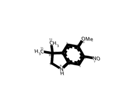 COc1cc2c(cc1N=O)NCC2(C)C